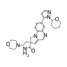 NC(=O)C1(CCN2CCOCC2)C=C2C=Nc3cc(-c4ccnn4C4CCCCO4)ccc3N2C1